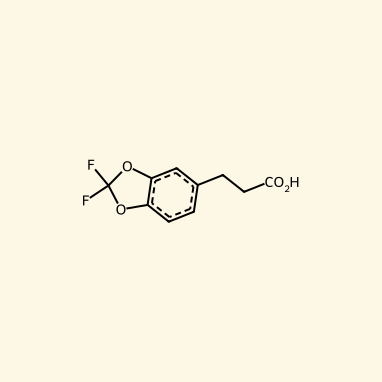 O=C(O)CCc1ccc2c(c1)OC(F)(F)O2